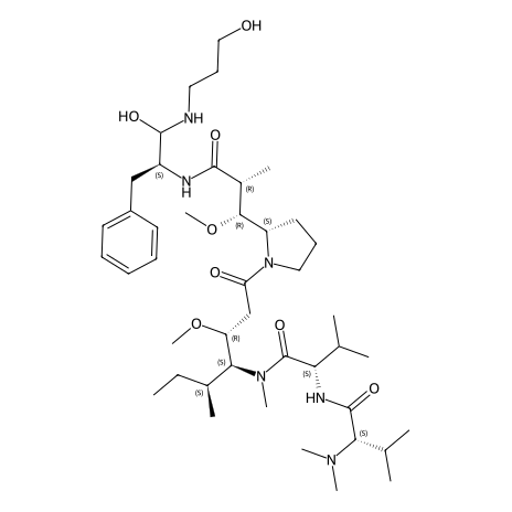 CC[C@H](C)[C@@H]([C@@H](CC(=O)N1CCC[C@H]1[C@H](OC)[C@@H](C)C(=O)N[C@@H](Cc1ccccc1)C(O)NCCCO)OC)N(C)C(=O)[C@@H](NC(=O)[C@H](C(C)C)N(C)C)C(C)C